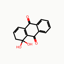 O=C1C2=C(C(=O)c3ccccc31)C(O)(O)CC=C2